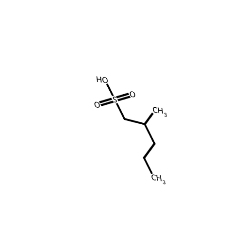 CCCC(C)CS(=O)(=O)O